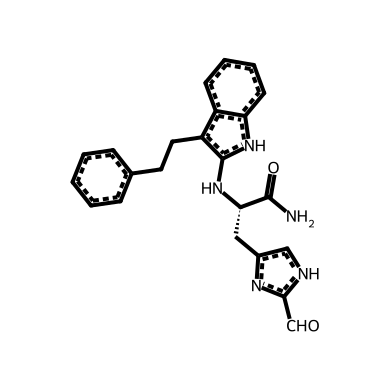 NC(=O)[C@H](Cc1c[nH]c(C=O)n1)Nc1[nH]c2ccccc2c1CCc1ccccc1